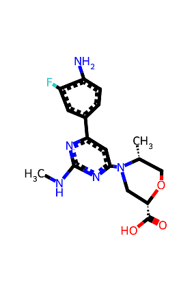 CNc1nc(-c2ccc(N)c(F)c2)cc(N2C[C@@H](C(=O)O)OC[C@H]2C)n1